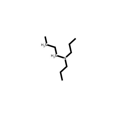 CCCN(CCC)[SiH2]C[SiH2]C